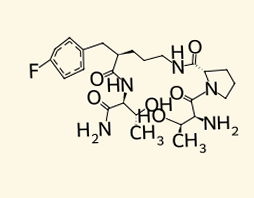 C[C@@H](O)[C@H](N)C(=O)N1CCC[C@H]1C(=O)NCCC[C@H](Cc1ccc(F)cc1)C(=O)N[C@H](C(N)=O)[C@@H](C)O